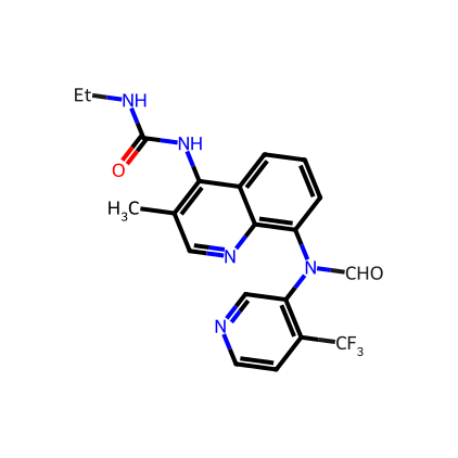 CCNC(=O)Nc1c(C)cnc2c(N(C=O)c3cnccc3C(F)(F)F)cccc12